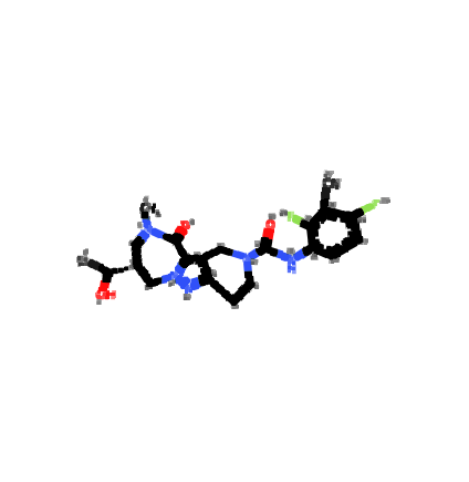 CCC(O)[C@@H]1CN(C)C(=O)c2c3c(nn2C1)CCN(C(=O)Nc1ccc(F)c(C#N)c1F)C3